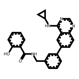 O=C(NCc1cccc(-c2ccc3ncnc(NC4CC4)c3c2)c1)c1ccccc1O